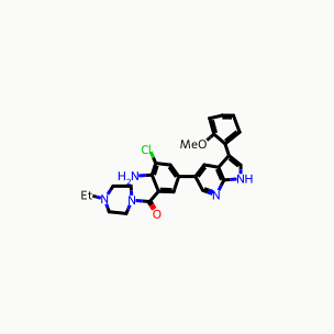 CCN1CCN(C(=O)c2cc(-c3cnc4[nH]cc(-c5ccccc5OC)c4c3)cc(Cl)c2N)CC1